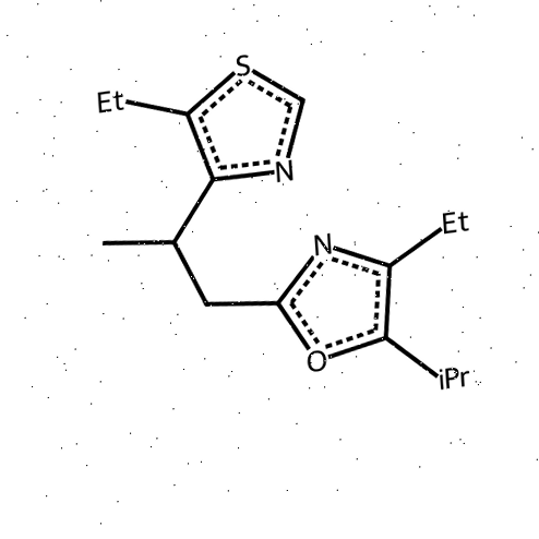 CCc1nc(CC(C)c2ncsc2CC)oc1C(C)C